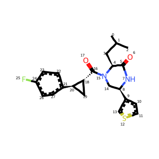 CC(C)C[C@H]1C(=O)N[C@@H](c2ccsc2)CN1C(=O)[C@@H]1C[C@H]1c1ccc(F)cc1